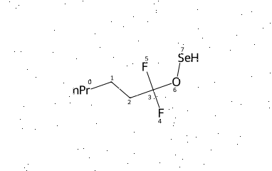 CCCCCC(F)(F)O[SeH]